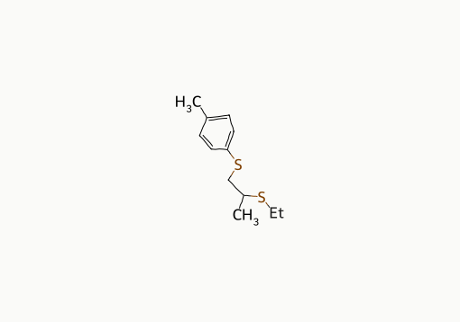 CCSC(C)CSc1ccc(C)cc1